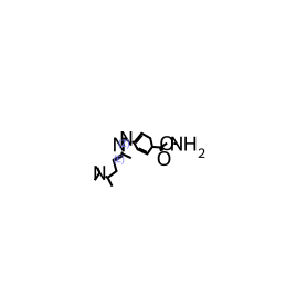 CC(=C\CC(C)N(C)C)/N=N\C1=CCC(C(=O)ON)C=C1